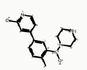 Cc1ccc(-c2ccnc(Cl)c2)cc1[S+]([O-])N1CCNCC1